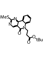 CSc1ncc2c(=O)n(CCC(=O)OC(C)(C)C)c3ccccc3c2n1